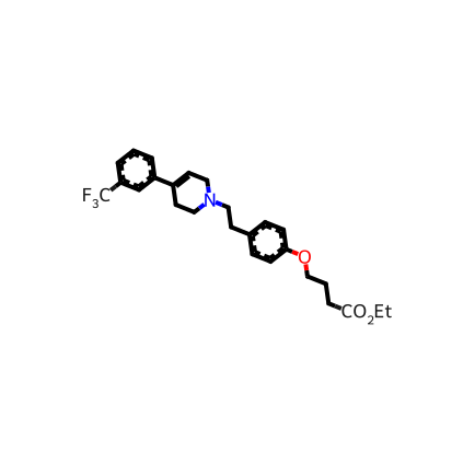 CCOC(=O)CCCOc1ccc(CCN2CC=C(c3cccc(C(F)(F)F)c3)CC2)cc1